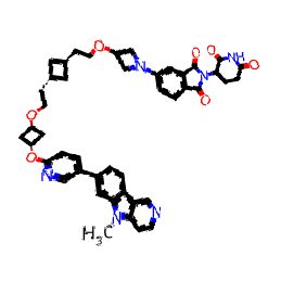 Cn1c2ccncc2c2ccc(-c3ccc(O[C@H]4C[C@H](OCC[C@H]5C[C@H](CCOC6CN(c7ccc8c(c7)C(=O)N(C7CCC(=O)NC7=O)C8=O)C6)C5)C4)nc3)cc21